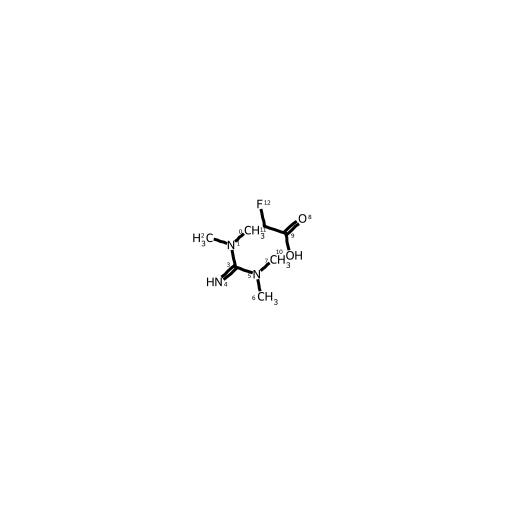 CN(C)C(=N)N(C)C.O=C(O)CF